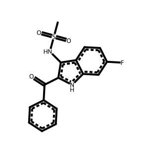 CS(=O)(=O)Nc1c(C(=O)c2ccccc2)[nH]c2cc(F)ccc12